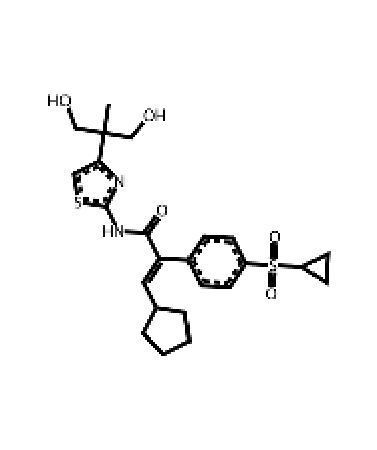 CC(CO)(CO)c1csc(NC(=O)/C(=C/C2CCCC2)c2ccc(S(=O)(=O)C3CC3)cc2)n1